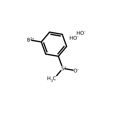 [B+2]c1cccc([S+](C)[O-])c1.[OH-].[OH-]